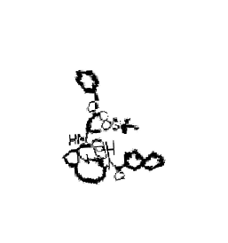 CC(C)(C)[Si](C)(C)OCC(CC(=O)OCc1ccccc1)NC(=O)C1CCCC2CC=CCC(NC(=O)c3ccc4ccccc4c3)C(=O)N21